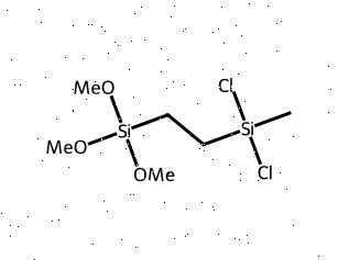 CO[Si](CC[Si](C)(Cl)Cl)(OC)OC